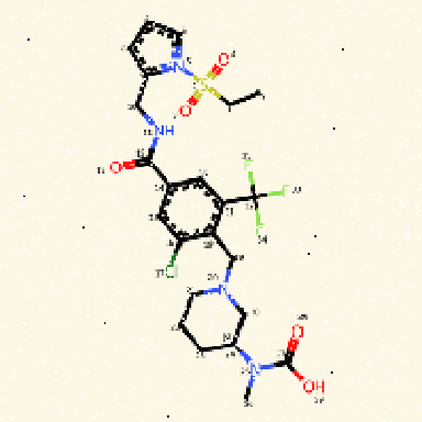 CCS(=O)(=O)n1cccc1CNC(=O)c1cc(Cl)c(CN2CCC[C@H](N(C)C(=O)O)C2)c(C(F)(F)F)c1